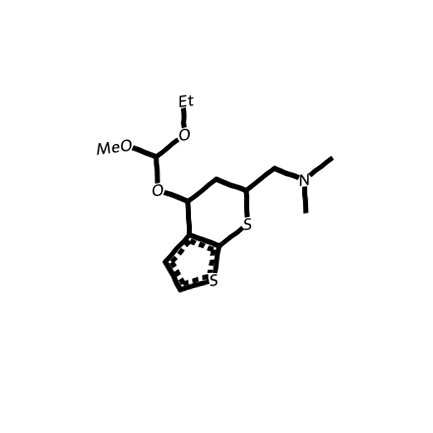 CCOC(OC)OC1CC(CN(C)C)Sc2sccc21